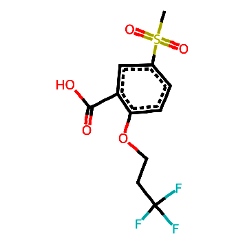 CS(=O)(=O)c1ccc(OCCC(F)(F)F)c(C(=O)O)c1